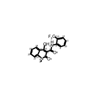 Cn1c(=O)c(C(=O)Nc2ccccc2C(F)(F)F)c(O)c2ccccc21